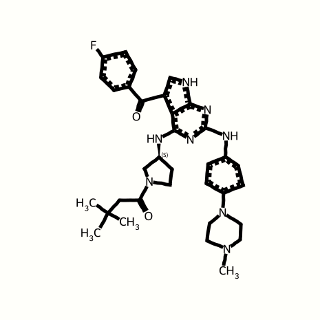 CN1CCN(c2ccc(Nc3nc(N[C@H]4CCN(C(=O)CC(C)(C)C)C4)c4c(C(=O)c5ccc(F)cc5)c[nH]c4n3)cc2)CC1